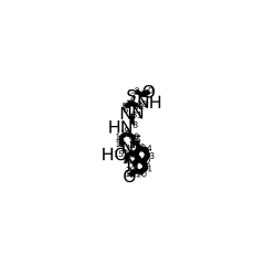 O=C1CSc2cnc(CNC3CCN(C4(O)Cn5c(=O)ccc6ccc(F)c4c65)CC3)nc2N1